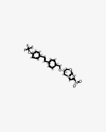 O=[N+]([O-])c1cn2c(n1)OC[C@@H](OCc1ccc(C=Cc3ccc(OC(F)(F)F)cc3)cc1)C2